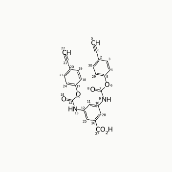 C#Cc1ccc(OC(=O)Nc2cc(NC(=O)Oc3ccc(C#C)cc3)cc(C(=O)O)c2)cc1